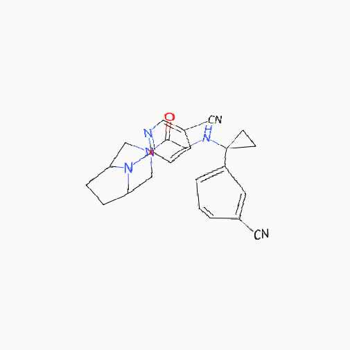 N#Cc1ccc(N2C3CCC2CN(C(=O)CNC2(c4cccc(C#N)c4)CC2)C3)nc1